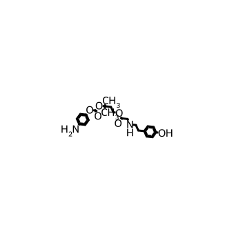 CC(C)(CCOC(=O)CNCCc1ccc(O)cc1)OC(=O)Oc1ccc(N)cc1